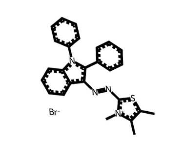 Cc1sc(/N=N/c2c(-c3ccccc3)n(-c3ccccc3)c3ccccc23)[n+](C)c1C.[Br-]